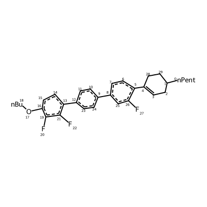 CCCCCC1CC=C(c2ccc(-c3ccc(-c4ccc(OCCCC)c(F)c4F)cc3)cc2F)CC1